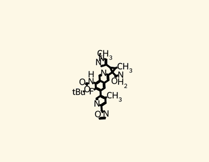 Cc1cc(-c2ncco2)ncc1-c1cc2cc(C3(C(N)=O)C(C)C3c3cnn(C)c3)ncc2c(NC(=O)OC(C)(C)C)c1F